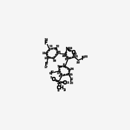 CS(=O)(=O)c1c(F)cc(-c2c(-c3cc(F)cc(F)c3)noc2CF)cc1F